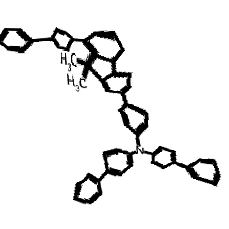 CC1(C)c2cc(-c3ccc(N(c4ccc(-c5ccccc5)cc4)c4ccc(-c5ccccc5)cc4)cc3)ccc2-c2cccc(-c3ccc(-c4ccccc4)cc3)c21